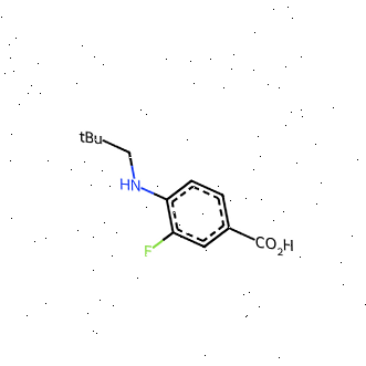 CC(C)(C)CNc1ccc(C(=O)O)cc1F